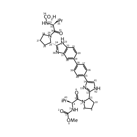 COC(=O)N[C@H](C(=O)N1CCCC1c1nc(-c2ccc(-c3ccc4[nH]c([C@@H]5CCCN5C(=O)[C@@H](NC(=O)O)C(C)C)nc4c3)cc2)c[nH]1)C(C)C